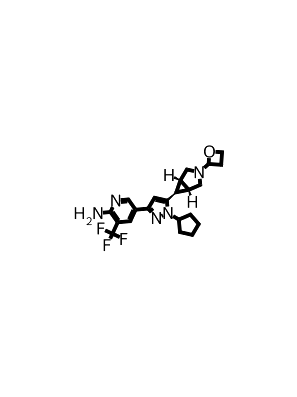 Nc1ncc(-c2cc([C@H]3[C@@H]4CN(C5CCO5)C[C@@H]43)n(C3CCCC3)n2)cc1C(F)(F)F